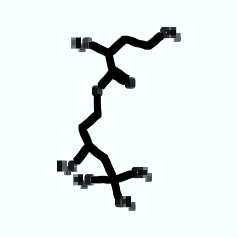 CCCC(C)C(=O)OCCC(C)CC(C)(C)C